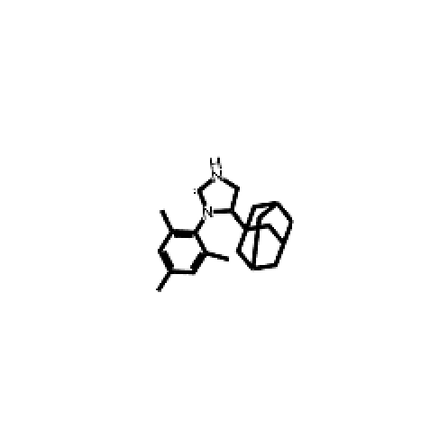 Cc1cc(C)c(N2[C]NCC2C23CC4CC(CC(C4)C2)C3)c(C)c1